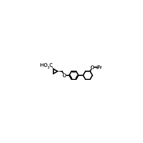 CC(C)OC1CCCC(c2ccc(OC[C@H]3C[C@@H]3C(=O)O)cc2)C1